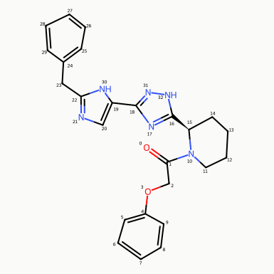 O=C(COc1ccccc1)N1CCCC[C@@H]1c1nc(-c2cnc(Cc3ccccc3)[nH]2)n[nH]1